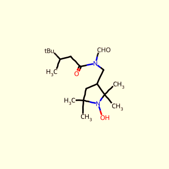 CC(CC(=O)N(C=O)CC1CC(C)(C)N(O)C1(C)C)C(C)(C)C